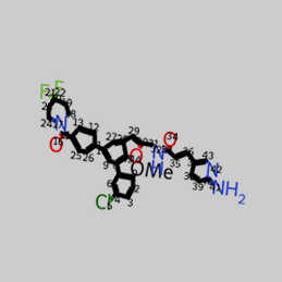 COc1ccc(Cl)cc1-c1cc(-c2ccc(C(=O)N3CCC(F)(F)CC3)cc2)cc2cc(CNC(=O)C=Cc3ccc(N)nc3)oc12